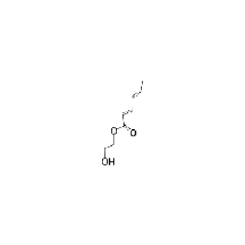 CC=CC=CC(=O)OCCO